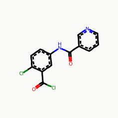 O=C(Nc1ccc(Cl)c(C(=O)Cl)c1)c1cccnc1